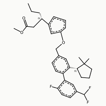 CCC[C@@H](CC(=O)OC)c1cccc(OCc2ccc(-c3cc(C(F)F)ccc3F)c([C@H]3CCCC3(C)C)c2)c1